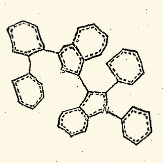 c1ccc(-c2ccccc2-c2sc(-c3c(-c4ccccc4)n(-c4ccccc4)c4ccccc34)c3ccccc23)cc1